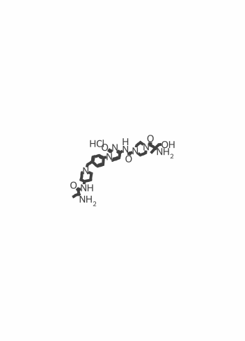 CC(N)C(=O)NC1CCN(Cc2ccc(-n3ccc(NC(=O)N4CCN(C(=O)C(C)(N)CO)CC4)nc3=O)cc2)CC1.Cl